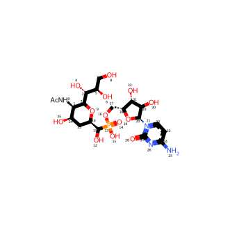 CC(=O)N[C@H]1C([C@H](O)[C@H](O)CO)O[C@@H](C(O)P(=O)(O)OC[C@H]2O[C@@H](n3ccc(N)nc3=O)C(O)[C@H]2O)C[C@H]1O